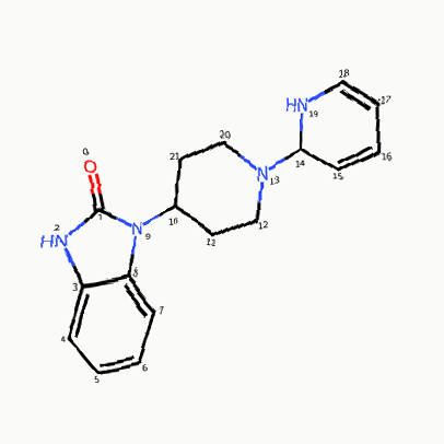 O=c1[nH]c2ccccc2n1C1CCN(C2C=C[C]=CN2)CC1